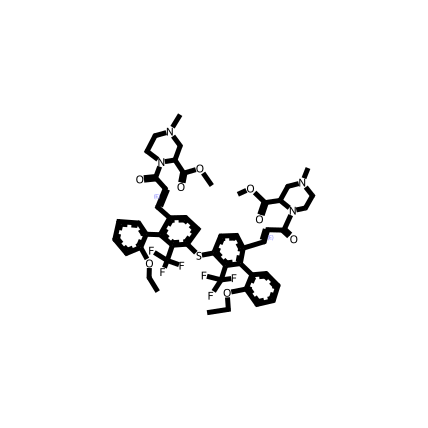 CCOc1ccccc1-c1c(/C=C/C(=O)N2CCN(C)CC2C(=O)OC)ccc(Sc2ccc(/C=C/C(=O)N3CCN(C)CC3C(=O)OC)c(-c3ccccc3OCC)c2C(F)(F)F)c1C(F)(F)F